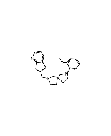 COc1ccccc1N1CCC2(CCN(CC3Cc4cccnc4C3)C2)C1